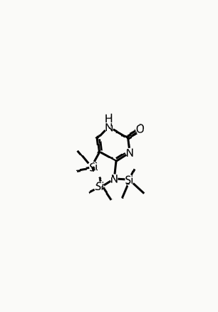 C[Si](C)(C)c1c[nH]c(=O)nc1N([Si](C)(C)C)[Si](C)(C)C